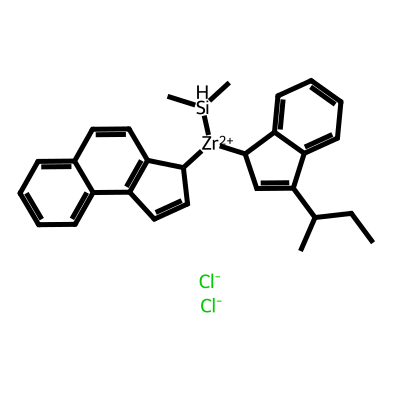 CCC(C)C1=C[CH]([Zr+2]([CH]2C=Cc3c2ccc2ccccc32)[SiH](C)C)c2ccccc21.[Cl-].[Cl-]